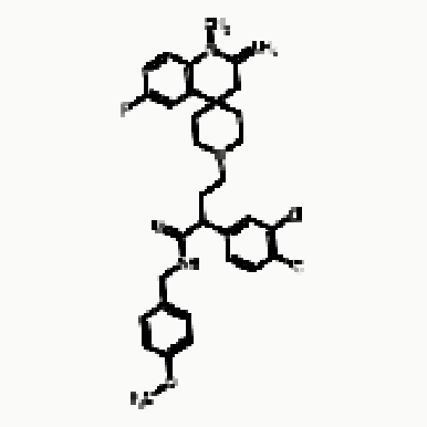 C=C1CC2(CCN(CCC(C(=O)NCc3ccc(OC(F)(F)F)cc3)c3ccc(Cl)c(Cl)c3)CC2)c2cc(F)ccc2N1C